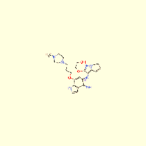 CN1CCN(CCCOC2=C/C(=N\c3c(OCCO)nn4ccccc34)C(=N)c3cc[nH]c32)CC1